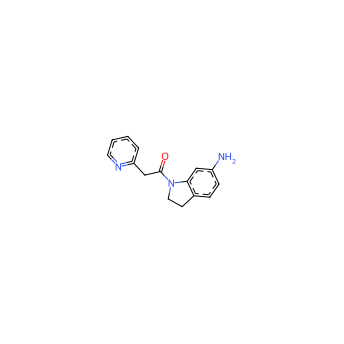 Nc1ccc2c(c1)N(C(=O)Cc1ccccn1)CC2